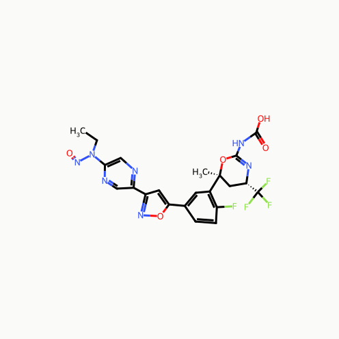 CCN(N=O)c1cnc(-c2cc(-c3ccc(F)c([C@]4(C)C[C@@H](C(F)(F)F)N=C(NC(=O)O)O4)c3)on2)cn1